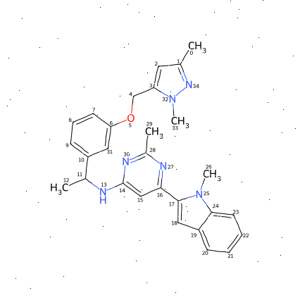 Cc1cc(COc2cccc(C(C)Nc3cc(-c4cc5ccccc5n4C)nc(C)n3)c2)n(C)n1